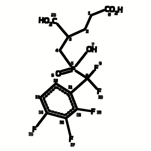 O=C(O)CCC(CP(=O)(O)C(F)(F)c1ccc(F)c(F)c1F)C(=O)O